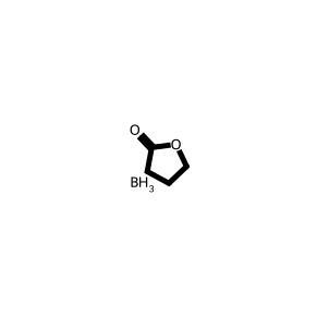 B.O=C1CCCO1